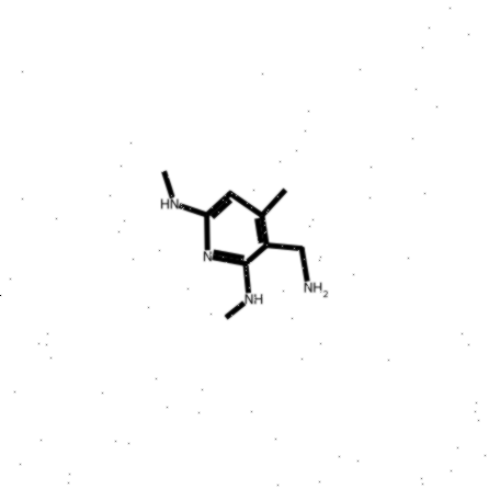 CNc1cc(C)c(CN)c(NC)n1